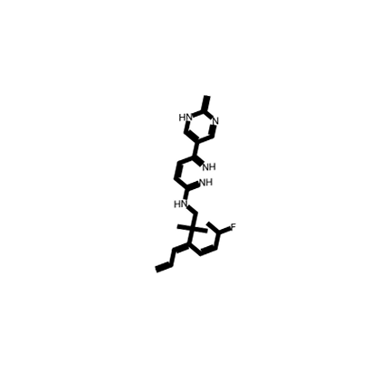 C=C/C=C(\C=C/C(C)F)C(C)(C)CNC(=N)/C=C\C(=N)C1=CNC(=C)N=C1